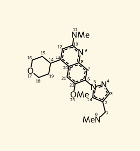 CNCc1cnn(-c2cc3nc(NC)cc(C4CCOCC4)c3cc2OC)c1